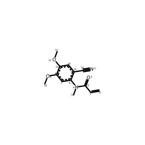 C=CC(=O)N(C)c1cc(OC)c(OC)cc1C#N